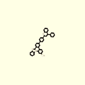 N#Cc1ccc2c3cc(-c4ccc(-c5cc(-c6ccccc6)c6ccccc6n5)cc4)ccc3c3nc4ccccc4n3c2c1